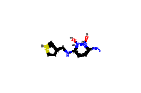 Nc1ccc(NCc2ccsc2)[n+]([O-])[n+]1[O-]